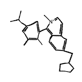 Cc1cc(C(C)C)cc(-c2c3ccc(CC4CCCC4)cc3cc[n+]2C)c1C